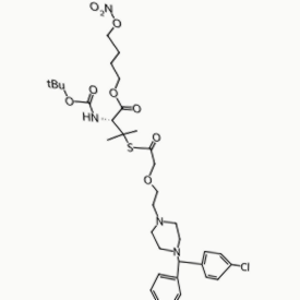 CC(C)(C)OC(=O)N[C@H](C(=O)OCCCCO[N+](=O)[O-])C(C)(C)SC(=O)COCCN1CCN(C(c2ccccc2)c2ccc(Cl)cc2)CC1